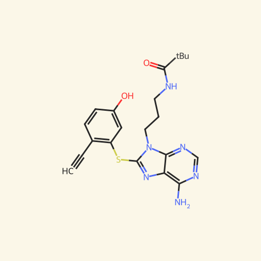 C#Cc1ccc(O)cc1Sc1nc2c(N)ncnc2n1CCCNC(=O)C(C)(C)C